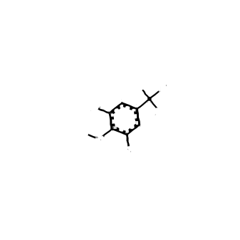 CNc1c(C)cc(C(F)(F)F)cc1N